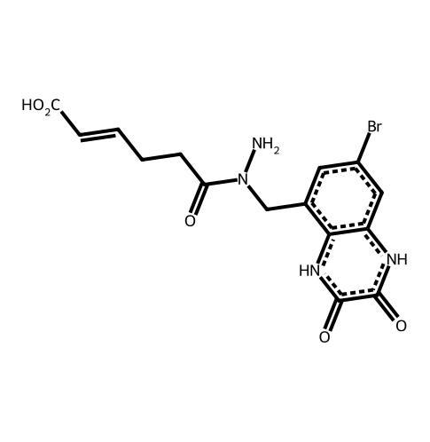 NN(Cc1cc(Br)cc2[nH]c(=O)c(=O)[nH]c12)C(=O)CCC=CC(=O)O